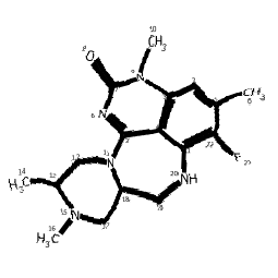 Cc1cc2c3c(nc(=O)n2C)N2CC(C)N(C)CC2CNc3c1F